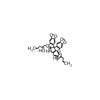 C=CC[C@@H](O)COc1cc2c(cc1C1(c3cc4c(cc3OC[C@H](O)CC=C)OCO4)C(=O)Nc3cc(F)ccc31)OCO2